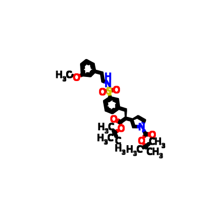 COc1cccc(CCNS(=O)(=O)c2cccc(C[C@H](C(=O)OC(C)(C)C)[C@H]3CCN(C(=O)OC(C)(C)C)C3)c2)c1